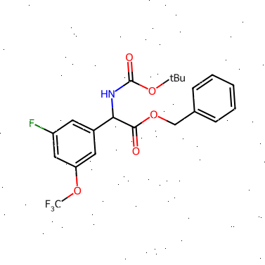 CC(C)(C)OC(=O)NC(C(=O)OCc1ccccc1)c1cc(F)cc(OC(F)(F)F)c1